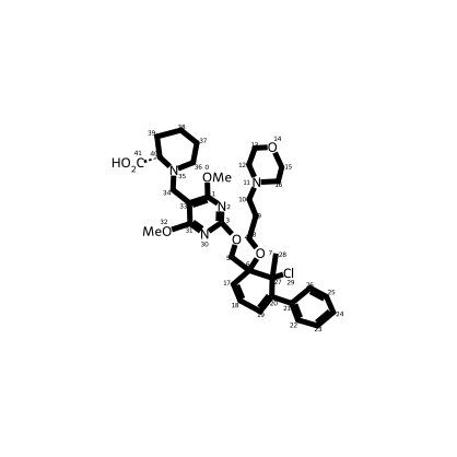 COc1nc(OCC2(OCCCN3CCOCC3)C=CC=C(c3ccccc3)C2(C)Cl)nc(OC)c1CN1CCCC[C@H]1C(=O)O